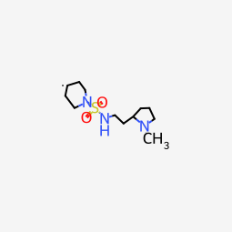 CN1CCCC1CCNS(=O)(=O)N1CC[CH]CC1